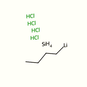 Cl.Cl.Cl.Cl.[Li][CH2]CCC.[SiH4]